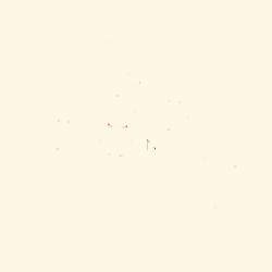 c1ccc(C2(c3ccccc3)c3ccccc3-c3c(N(c4ccc(-c5ccc6ccccc6c5)cc4)c4ccccc4-c4cccc5c4sc4ccccc45)cccc32)cc1